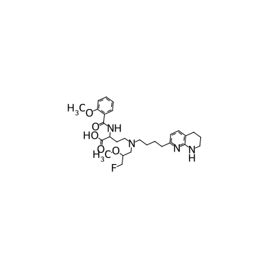 COc1ccccc1C(=O)NC(CCN(CCCCc1ccc2c(n1)NCCC2)CC(CF)OC)C(=O)O